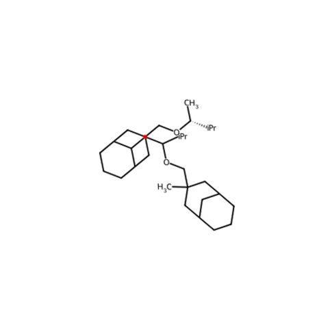 CC(C)C(CC1C2CCCC1CC(CO[C@H](C)C(C)C)C2)OCC1(C)CC2CCCC(C2)C1